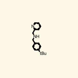 CC(C)(C)c1ccc(CNCc2ccccn2)cc1